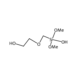 CO[Si](O)(COCCO)OC